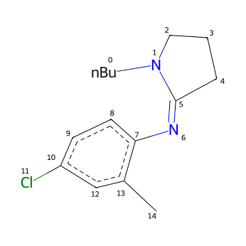 CCCCN1CCCC1=Nc1ccc(Cl)cc1C